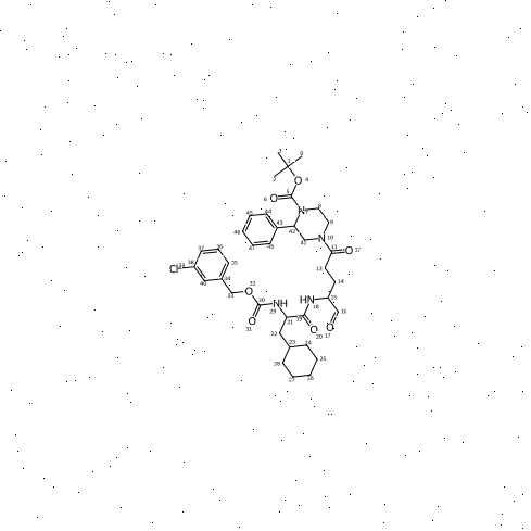 CC(C)(C)OC(=O)N1CCN(C(=O)CCC(C=O)NC(=O)C(CC2CCCCC2)NC(=O)OCc2cccc(Cl)c2)CC1c1ccccc1